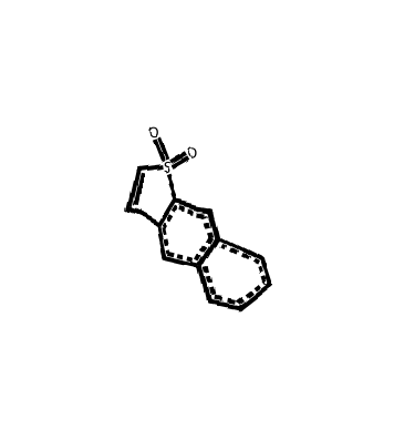 O=S1(=O)C=Cc2cc3ccccc3cc21